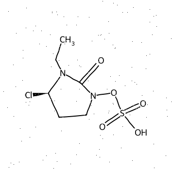 CCN1C(=O)N(OS(=O)(=O)O)CC[C@H]1Cl